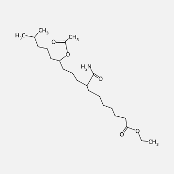 CCOC(=O)CCCCCCC(CCCC(CCCC(C)C)OC(C)=O)C(N)=O